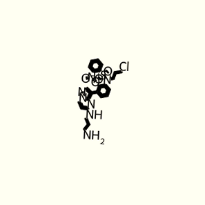 NCCCNc1ccn2ncc(-c3cccc(N(CCCCl)S(=O)(=O)c4ccccc4[N+](=O)[O-])c3)c2n1